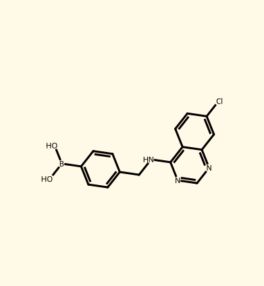 OB(O)c1ccc(CNc2ncnc3cc(Cl)ccc23)cc1